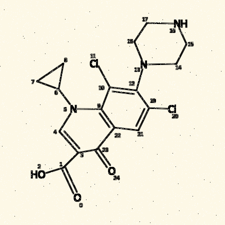 O=C(O)c1cn(C2CC2)c2c(Cl)c(N3CCNCC3)c(Cl)cc2c1=O